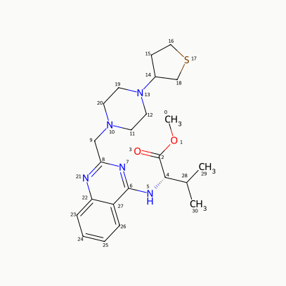 COC(=O)[C@@H](Nc1nc(CN2CCN(C3CCSC3)CC2)nc2ccccc12)C(C)C